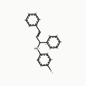 Fc1ccc(NC(C=Cc2ccccc2)c2ccccc2)cc1